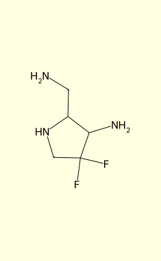 NCC1NCC(F)(F)C1N